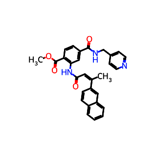 COC(=O)c1ccc(C(=O)NCc2ccncc2)cc1NC(=O)/C=C(/C)c1ccc2ccccc2c1